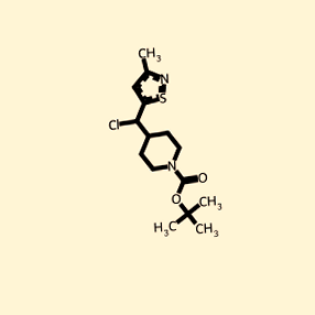 Cc1cc(C(Cl)C2CCN(C(=O)OC(C)(C)C)CC2)sn1